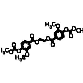 COC(=O)Oc1ccc(C(=O)OCCOC(=O)c2ccc(OC(=O)OC)c(OC)c2)cc1OC